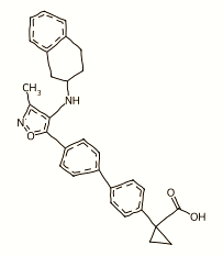 Cc1noc(-c2ccc(-c3ccc(C4(C(=O)O)CC4)cc3)cc2)c1NC1CCc2ccccc2C1